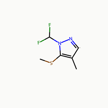 CSc1c(C)[c]nn1C(F)F